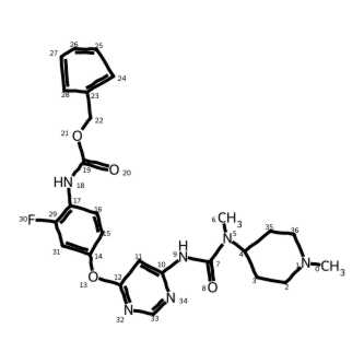 CN1CCC(N(C)C(=O)Nc2cc(Oc3ccc(NC(=O)OCc4ccccc4)c(F)c3)ncn2)CC1